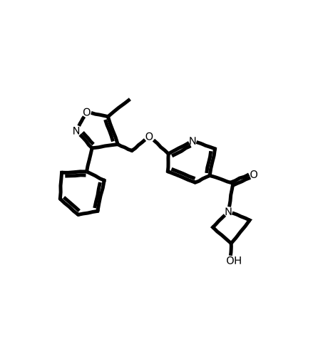 Cc1onc(-c2ccccc2)c1COc1ccc(C(=O)N2CC(O)C2)cn1